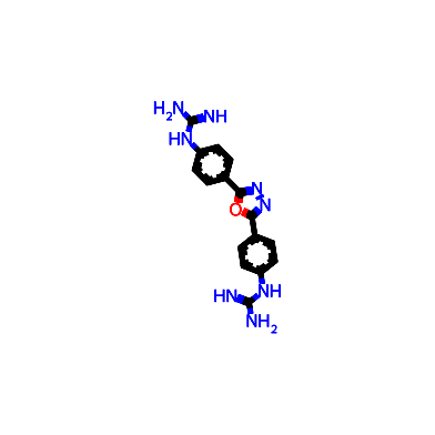 N=C(N)Nc1ccc(-c2nnc(-c3ccc(NC(=N)N)cc3)o2)cc1